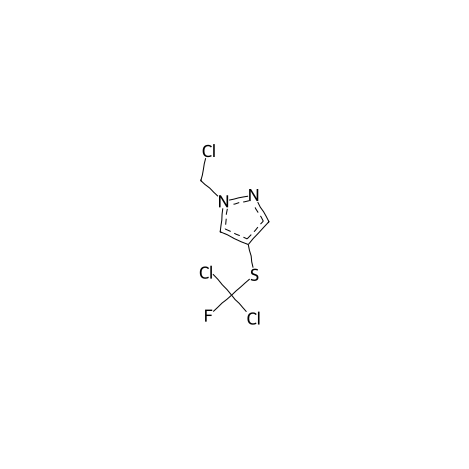 FC(Cl)(Cl)Sc1cnn(CCl)c1